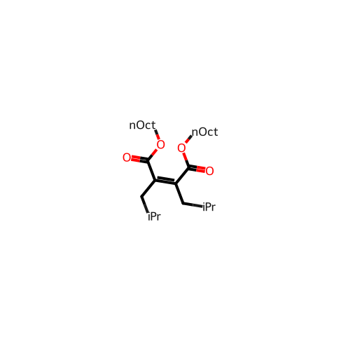 CCCCCCCCOC(=O)C(CC(C)C)=C(CC(C)C)C(=O)OCCCCCCCC